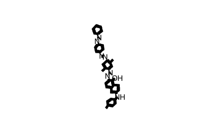 Cc1ccc(Nc2ccc3c(O)c(N=Nc4cc(C)c(N=Nc5ccc(N=Nc6ccccc6)cc5)cc4C)ccc3c2)cc1